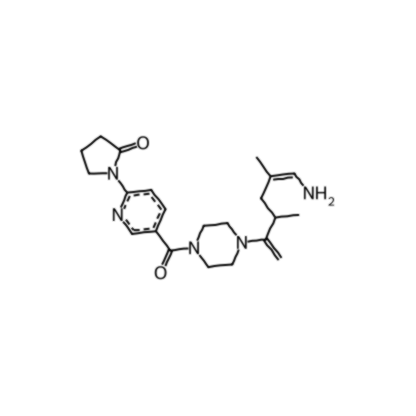 C=C(C(C)C/C(C)=C\N)N1CCN(C(=O)c2ccc(N3CCCC3=O)nc2)CC1